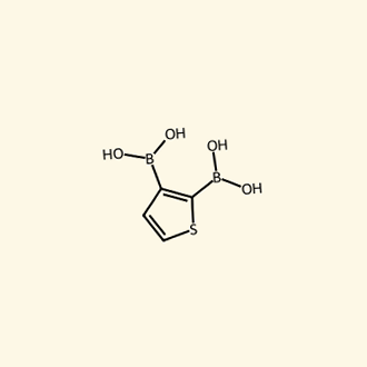 OB(O)c1ccsc1B(O)O